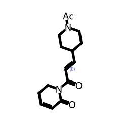 CC(=O)N1CCC(/C=C/C(=O)N2CCC=CC2=O)CC1